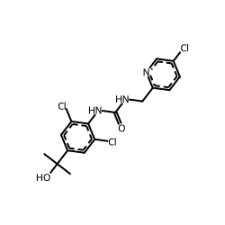 CC(C)(O)c1cc(Cl)c(NC(=O)NCc2ccc(Cl)cn2)c(Cl)c1